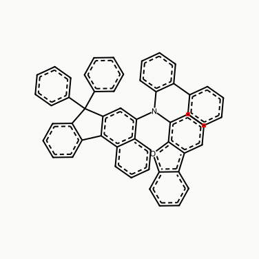 c1ccc(-c2ccccc2N(c2cc3c(c4ccccc24)-c2ccccc2C3(c2ccccc2)c2ccccc2)c2cccc3c2oc2ccccc23)cc1